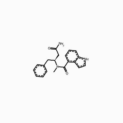 CN(C(=O)c1cccc2[nH]ccc12)[C@H](CC(N)=O)Cc1ccccc1